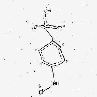 O=S(=O)(O)c1ccc(NCl)cc1